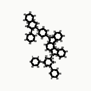 c1ccc(-c2nc(-c3ccccc3)nc(-n3c4ccccc4c4c5c6ccccc6n(-c6ccc(-c7nc8ccccc8nc7-c7ccccc7)cc6)c5ccc43)n2)cc1